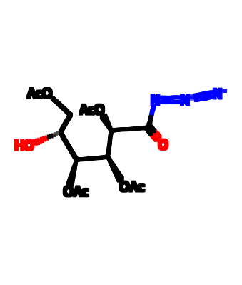 CC(=O)OC[C@@H](O)[C@H](OC(C)=O)[C@H](OC(C)=O)[C@@H](OC(C)=O)C(=O)N=[N+]=[N-]